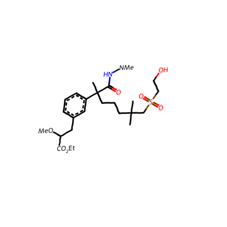 CCOC(=O)C(Cc1cccc(C(C)(CCCC(C)(C)CS(=O)(=O)CCO)C(=O)NNC)c1)OC